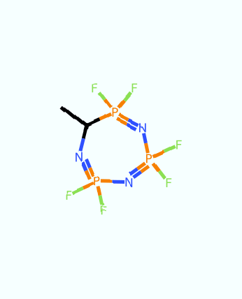 CC1N=P(F)(F)N=P(F)(F)N=P1(F)F